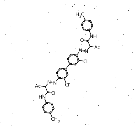 CC(=O)C(N=Nc1ccc(-c2ccc(N=NC(C(C)=O)C(=O)Nc3ccc(C)cc3)c(Cl)c2)cc1Cl)C(=O)Nc1ccc(C)cc1